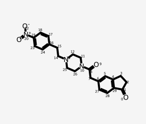 O=C1CCc2cc(CC(=O)N3CCN(CCc4ccc([N+](=O)[O-])cc4)CC3)ccc21